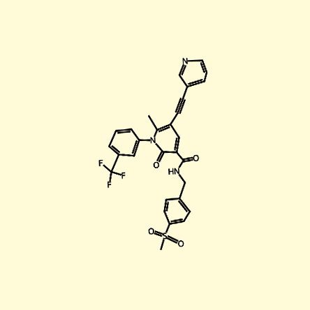 Cc1c(C#Cc2cccnc2)cc(C(=O)NCc2ccc(S(C)(=O)=O)cc2)c(=O)n1-c1cccc(C(F)(F)F)c1